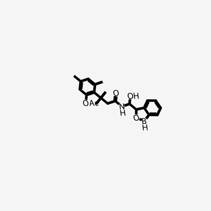 CC(=O)Oc1cc(C)cc(C)c1C(C)(C)CC(=O)NC(O)C1OBc2ccccc21